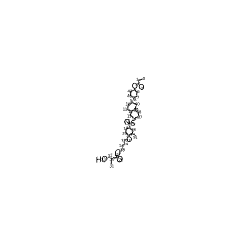 C=CC(=O)Oc1ccc(-c2ccc3cc(SC(=O)c4ccc(OCCCCOC(=O)C(=C)CO)c(C)c4)ccc3c2)cc1